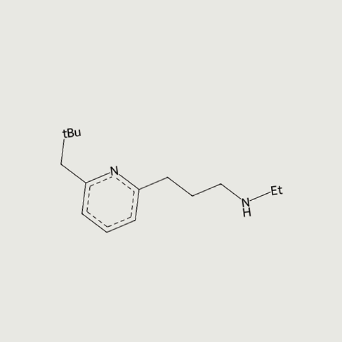 CCNCCCc1cccc(CC(C)(C)C)n1